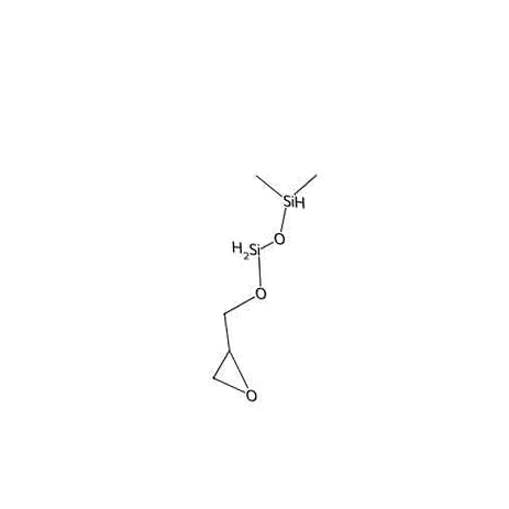 C[SiH](C)O[SiH2]OCC1CO1